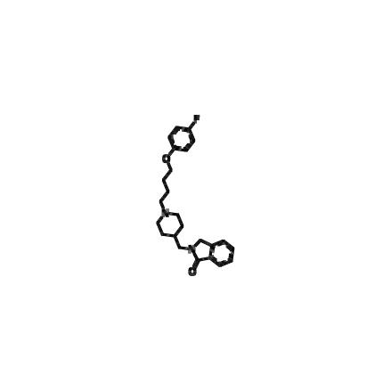 O=C1c2ccccc2CN1CC1CCN(CCCCOc2ccc(F)cc2)CC1